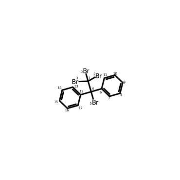 BrC(Br)(Br)C(Br)(c1ccccc1)c1ccccc1